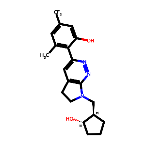 Cc1cc(C(F)(F)F)cc(O)c1-c1cc2c(nn1)N(C[C@H]1CCC[C@@H]1O)CC2